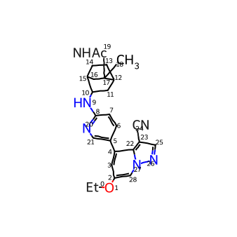 CCOc1cc(-c2ccc(NC3CC4CCC3CC4(C)NC(C)=O)nc2)c2c(C#N)cnn2c1